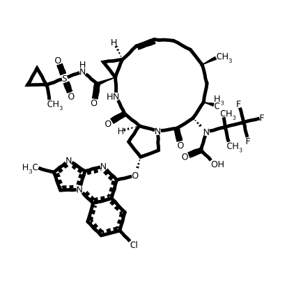 Cc1cn2c(n1)nc(O[C@@H]1C[C@H]3C(=O)N[C@]4(C(=O)NS(=O)(=O)C5(C)CC5)C[C@H]4/C=C\CC[C@@H](C)C[C@@H](C)[C@H](N(C(=O)O)C(C)(C)C(F)(F)F)C(=O)N3C1)c1cc(Cl)ccc12